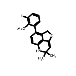 COc1c(F)cccc1-c1ccc2c3c1COC3=CC(C)(C)N2